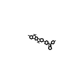 Cc1ccc(N(c2ccccc2)c2ccc(-c3ccc4c(c3)C(C)(C)c3cc5c(cc3-4)C(C)(C)c3cc(C)ccc3-5)cc2)cc1